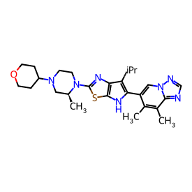 Cc1c(-c2[nH]c3sc(N4CCN(C5CCOCC5)C[C@@H]4C)nc3c2C(C)C)cn2ncnc2c1C